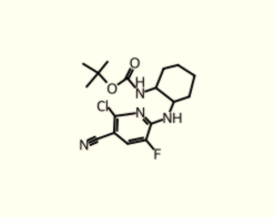 CC(C)(C)OC(=O)NC1CCCCC1Nc1nc(Cl)c(C#N)cc1F